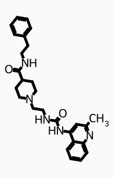 Cc1cc(NC(=O)NCCN2CCC(C(=O)NCCc3ccccc3)CC2)c2ccccc2n1